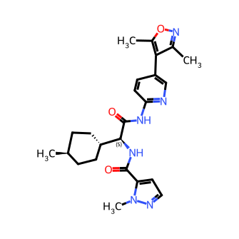 Cc1noc(C)c1-c1ccc(NC(=O)[C@@H](NC(=O)c2ccnn2C)[C@H]2CC[C@H](C)CC2)nc1